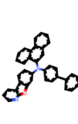 c1ccc(-c2ccc(N(c3ccc4c(c3)oc3ncccc34)c3cc4ccccc4c4ccccc34)cc2)cc1